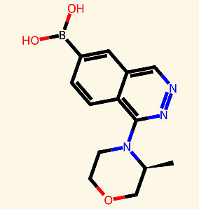 C[C@H]1COCCN1c1nncc2cc(B(O)O)ccc12